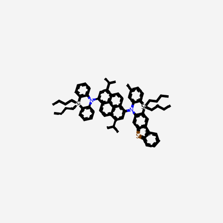 CCCC[Si]1(CCCC)c2ccccc2N(c2cc(C(C)C)c3ccc4c(N5c6cc(C)ccc6[Si](CCCC)(CCCC)c6cc7c(cc65)sc5ccccc57)cc(C(C)C)c5ccc2c3c54)c2ccccc21